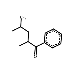 CC(CC(C)C(F)(F)F)C(=O)c1ccccc1